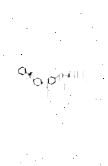 NCOBCc1ccc(N[C@H]2CC[C@H](OC(=O)c3ccccc3)CC2)cc1